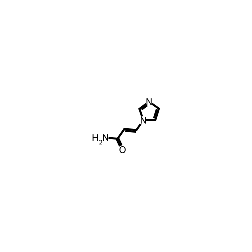 NC(=O)C=Cn1ccnc1